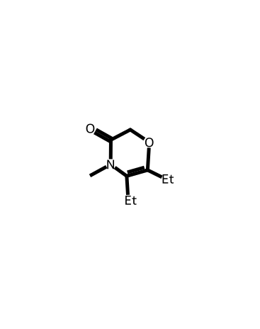 CCC1=C(CC)N(C)C(=O)CO1